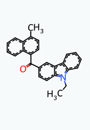 CCn1c2ccccc2c2cc(C(=O)c3ccc(C)c4ccccc34)ccc21